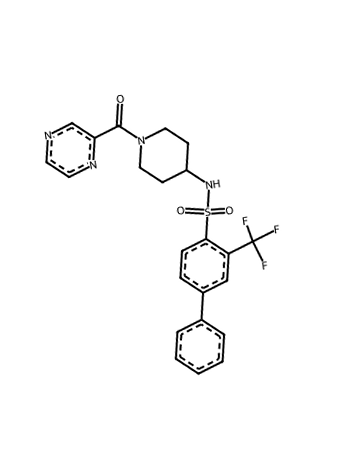 O=C(c1cnccn1)N1CCC(NS(=O)(=O)c2ccc(-c3ccccc3)cc2C(F)(F)F)CC1